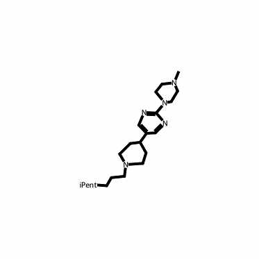 CCCC(C)CCCN1CCC(c2cnc(N3CCN(C)CC3)nc2)CC1